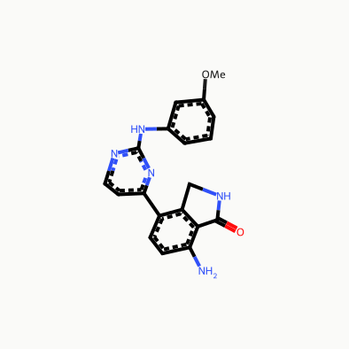 COc1cccc(Nc2nccc(-c3ccc(N)c4c3CNC4=O)n2)c1